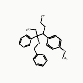 COc1ccc(C(CCO)C(CO)(OCc2ccccc2)c2ccccc2)cc1